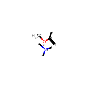 C=C(C)O[SiH3].CN(C)C